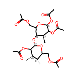 CC(=O)OCC1O[C@@H](OC(C)=O)C(OC(C)=O)[C@@H](C)[C@@H]1O[C@@H]1OC(COC(C)=O)[C@H](C)[C@H](C)C1OC(C)=O